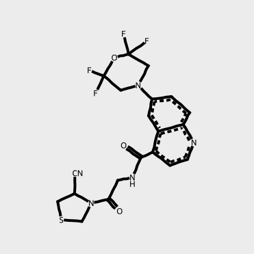 N#CC1CSCN1C(=O)CNC(=O)c1ccnc2ccc(N3CC(F)(F)OC(F)(F)C3)cc12